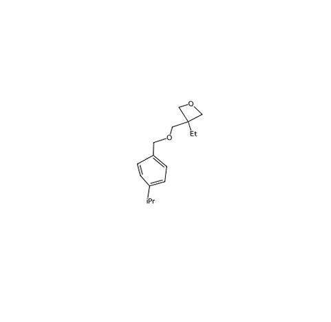 CCC1(COCc2ccc(C(C)C)cc2)COC1